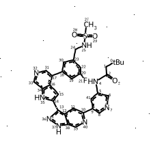 CC(C)(C)CC(=O)Nc1cncc(-c2cc3c(-c4cc5c(-c6cc(F)cc(CNS(C)(=O)=O)c6)cncc5[nH]4)n[nH]c3cn2)c1